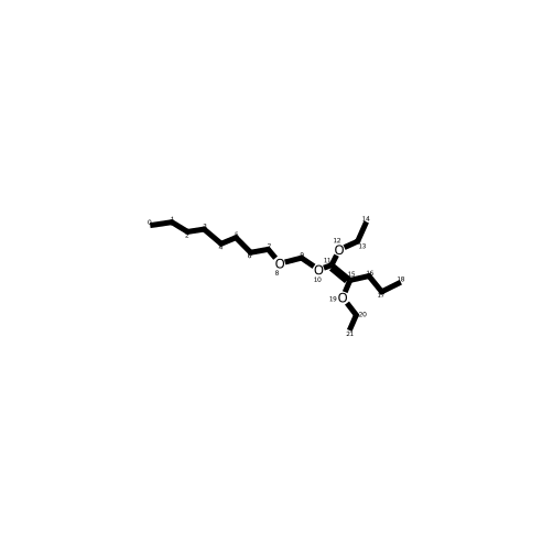 CCCCCCCCOCOC(OCC)=C(CCC)OCC